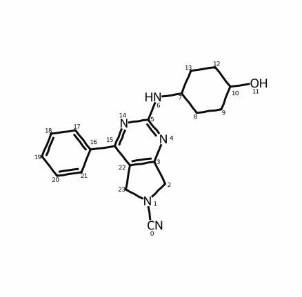 N#CN1Cc2nc(NC3CCC(O)CC3)nc(-c3ccccc3)c2C1